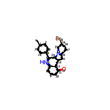 Cc1ccc(-c2[nH]c3cccc(=O)c-3c3cc4ccc(Br)cn4c23)cc1